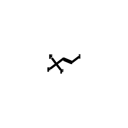 FC(F)(F)C=CI